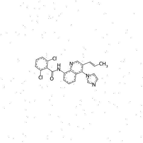 CC=Cc1cnc2c(NC(=O)c3c(Cl)cccc3Cl)cccc2c1-n1ccnc1